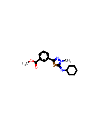 COC(=O)c1cccc(-c2nn(C)/c(=N\C3CCCCC3)s2)c1